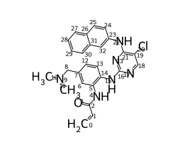 C=CC(=O)Nc1cc(CN(C)C)ccc1Nc1ncc(Cl)c(Nc2ccc3ccccc3c2)n1